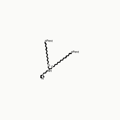 CCCCCC=CCC=CCCCCCCCCOCC(COCCCCCCCCC=CCC=CCCCCC)NCCCn1ccnc1